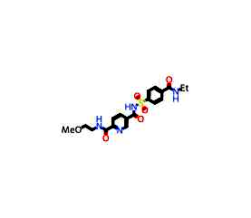 CCNC(=O)c1ccc(S(=O)(=O)NC(=O)c2ccc(C(=O)NCCOC)nc2)cc1